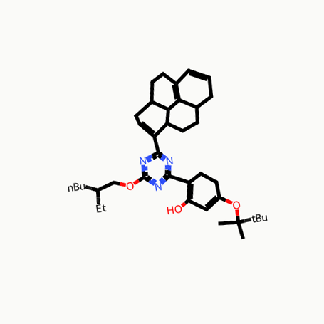 CCCCC(CC)COc1nc(C2=CCC3CCC4=C5C(CC=C4)CCC2C53)nc(C2=C(O)C=C(OC(C)(C)C(C)(C)C)CC2)n1